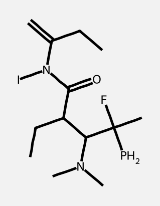 C=C(CC)N(I)C(=O)C(CC)C(N(C)C)C(C)(F)P